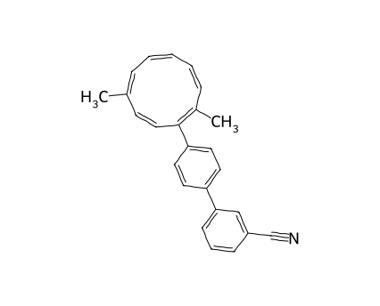 Cc1cccccc(C)c(-c2ccc(-c3cccc(C#N)c3)cc2)cc1